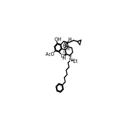 CCN(CCCCCCc1ccccc1)[C@@H]1CC[C@H]2[C@H]3Cc4c(O)cc(OC(C)=O)c5c4[C@@]2(CCN3CC2CC2)[C@H]1O5